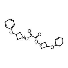 O=C(ON1CC(Oc2ccccc2)C1)C(=O)ON1CC(Oc2ccccc2)C1